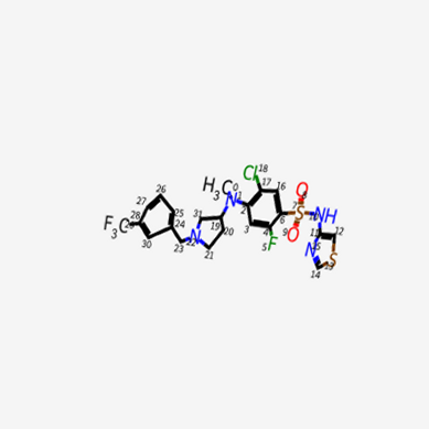 CN(c1cc(F)c(S(=O)(=O)Nc2cscn2)cc1Cl)C1CCN(Cc2cccc(C(F)(F)F)c2)C1